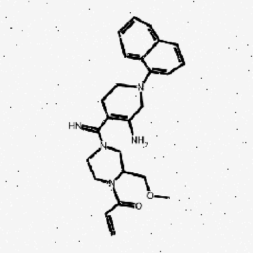 C=CC(=O)N1CCN(C(=N)C2=C(N)CN(c3cccc4ccccc34)CC2)CC1COC